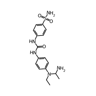 CCN(c1ccc(NC(=O)Nc2ccc(S(N)(=O)=O)cc2)cc1)C(C)N